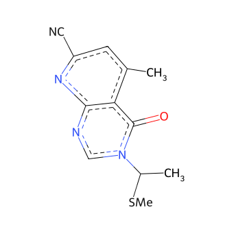 CSC(C)n1cnc2nc(C#N)cc(C)c2c1=O